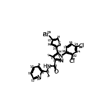 Cc1c(C(=O)N[C@@H](C)c2ccccn2)nn(-c2ccc(Cl)cc2Cl)c1-c1cc(Br)cs1